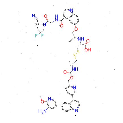 C=C(COc1ccc2nccc(C(=O)NCC(=O)N3CC(F)(F)C[C@H]3C#N)c2c1)NC(CSSCCNC(=O)OCc1ccc(-c2ccnc3ccc(-c4cnc(OC)c(N)c4)cc23)cn1)C(=O)O